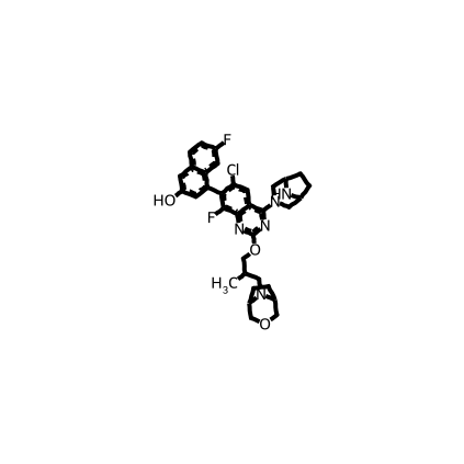 CC(COc1nc(N2CC3CCC(C2)N3)c2cc(Cl)c(-c3cc(O)cc4ccc(F)cc34)c(F)c2n1)CN1C2CCC1COC2